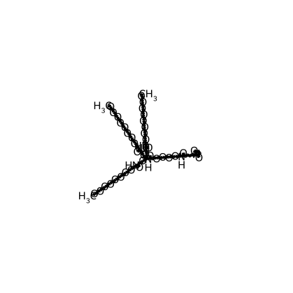 COCCOCCOCCOCCOCCOCCOCCOCCNC(=O)CCOCC(COCCC(=O)NCCOCCOCCOCCOCCOCCOCCOCCOC)(COCCC(=O)NCCOCCOCCOCCOCCOCCOCCOCCOC)NC(=O)CCOCCOCCOCCOCCNC(=O)CCCCCN1C(=O)C=CC1=O